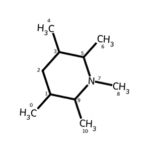 CC1CC(C)C(C)N(C)C1C